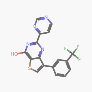 Oc1nc(-c2ccncn2)nc2c(-c3cccc(C(F)(F)F)c3)csc12